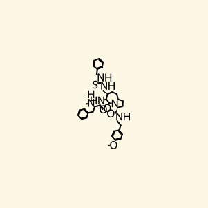 CNC(Cc1ccccc1)C(=O)NC1C(=O)N2C(CC[C@@H]1CNC(=S)NCc1ccccc1)CC[C@H]2C(=O)NCCc1ccc(OC)cc1